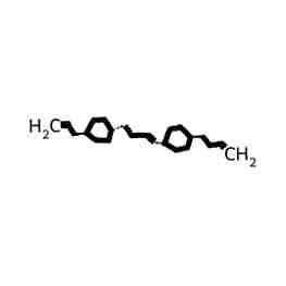 C=CCC[C@H]1CC[C@H](/C=C/CC[C@H]2CC[C@H](CC=C)CC2)CC1